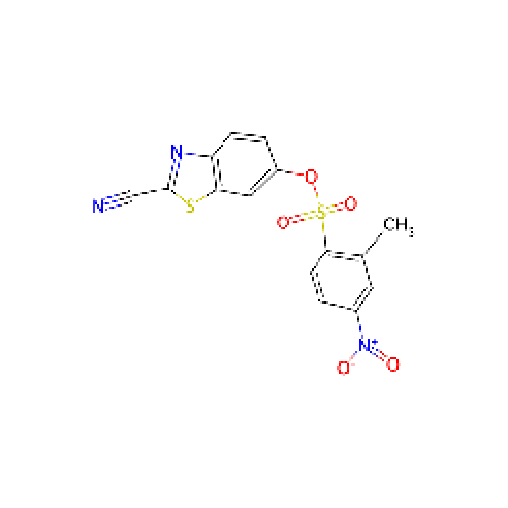 Cc1cc([N+](=O)[O-])ccc1S(=O)(=O)Oc1ccc2nc(C#N)sc2c1